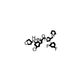 O=C(c1cc2cc(Cl)cc(NC3CCOCC3)c2[nH]1)N1CC(CN2CCCC2)[C@H](c2ccc(F)cc2F)C1